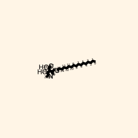 CCCCCCCCCCCCCCCCOCc1cnc(C)c(O)c1C(=O)O